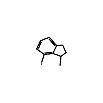 CC1CCc2cccc(I)c21